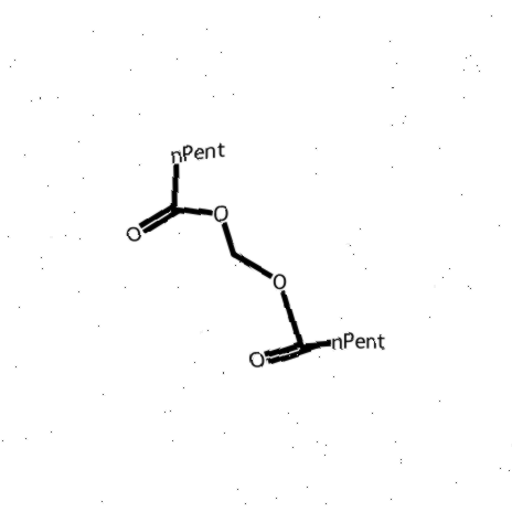 CCCCCC(=O)OCOC(=O)CCCCC